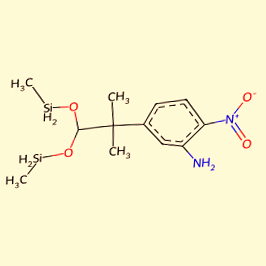 C[SiH2]OC(O[SiH2]C)C(C)(C)c1ccc([N+](=O)[O-])c(N)c1